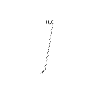 [C]#CCCCCCCCCCCCCCCCCCCCCC[CH2]